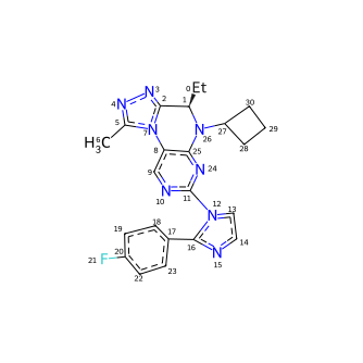 CC[C@@H]1c2nnc(C)n2-c2cnc(-n3ccnc3-c3ccc(F)cc3)nc2N1C1CCC1